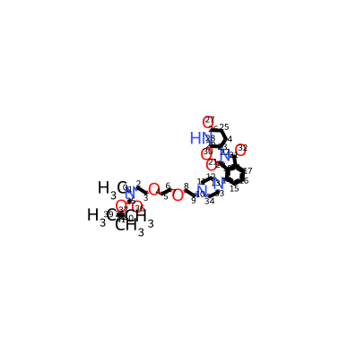 CN(CCOCCOCCN1CCN(c2cccc3c2C(=O)N(C2CCC(=O)NC2=O)C3=O)CC1)C(=O)OC(C)(C)C